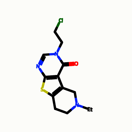 CCN1CCc2sc3ncn(CCCl)c(=O)c3c2C1